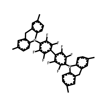 Cc1ccc2c(c1)Cc1cc(C)ccc1N2c1c(F)c(F)c(-c2c(F)c(F)c(N3c4ccc(C)cc4Cc4cc(C)ccc43)c(F)c2F)c(F)c1F